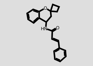 O=C(C=Cc1ccccc1)NC1CC2(CCC2)Oc2ccccc21